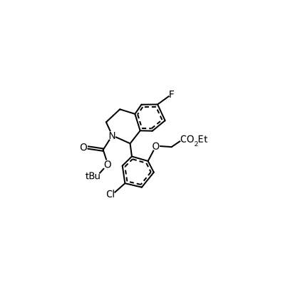 CCOC(=O)COc1ccc(Cl)cc1C1c2ccc(F)cc2CCN1C(=O)OC(C)(C)C